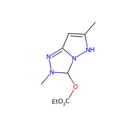 CCOC(=O)OC1N(C)N=C2C=C(C)NN21